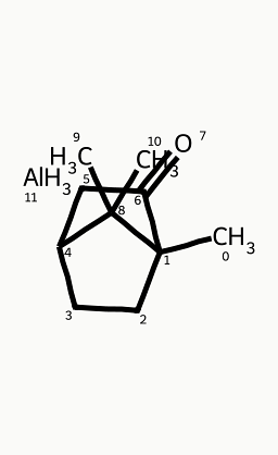 CC12CCC(CC1=O)C2(C)C.[AlH3]